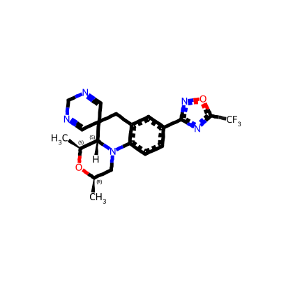 C[C@@H]1CN2c3ccc(-c4noc(C(F)(F)F)n4)cc3CC3(C=NCN=C3)[C@H]2[C@H](C)O1